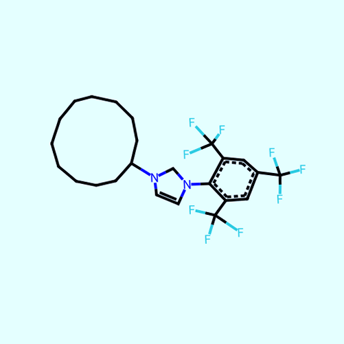 FC(F)(F)c1cc(C(F)(F)F)c(N2C=CN(C3CCCCCCCCCCC3)C2)c(C(F)(F)F)c1